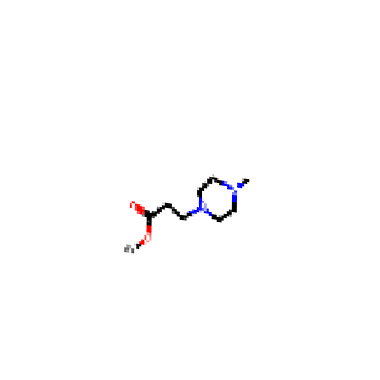 CC(C)OC(=O)CCN1CCN(C)CC1